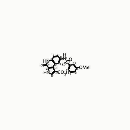 COc1cccc(S(=O)(=O)Nc2ccc3[nH]c(=O)c4[nH]cc(C(=O)O)c4c3c2)c1